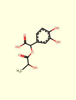 CC(O)C(=O)OC(C(=O)O)c1ccc(O)c(O)c1